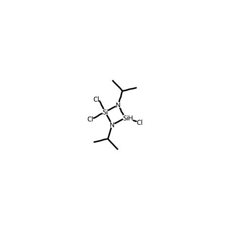 CC(C)N1[SiH](Cl)N(C(C)C)[Si]1(Cl)Cl